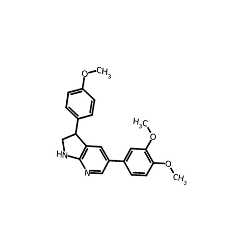 COc1ccc(C2CNc3ncc(-c4ccc(OC)c(OC)c4)cc32)cc1